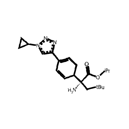 CC(C)OC(=O)[C@@](N)(CC(C)(C)C)C1C=CC(c2cn(C3CC3)nn2)=CC1